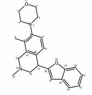 Cc1c(N2CCOCC2)ccc2c1CN(C)CC2c1cc2ccccc2o1